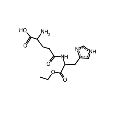 CCOC(=O)C(Cc1c[nH]cn1)NC(=O)CCC(N)C(=O)O